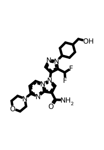 NC(=O)c1cn(-c2cnn(C3CCC(CO)CC3)c2C(F)F)[n+]2ccc(N3CCOCC3)nc12